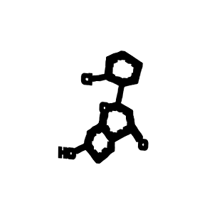 O=c1cc(-c2ccccc2Cl)oc2cc(O)ccc12